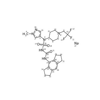 Cn1cc(N(C2CCN(CC(F)(F)F)CC2)S(=O)(=O)NC(=O)Nc2c3c(cc4c2CCC4)CCC3)cn1.[Na]